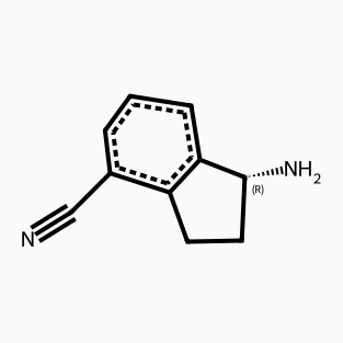 N#Cc1cccc2c1CC[C@H]2N